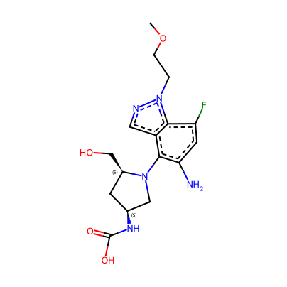 COCCn1ncc2c(N3C[C@@H](NC(=O)O)C[C@H]3CO)c(N)cc(F)c21